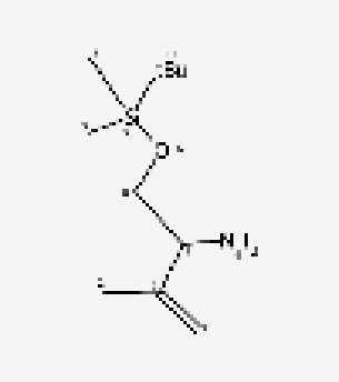 C=C(C)C(N)CO[Si](C)(C)C(C)(C)C